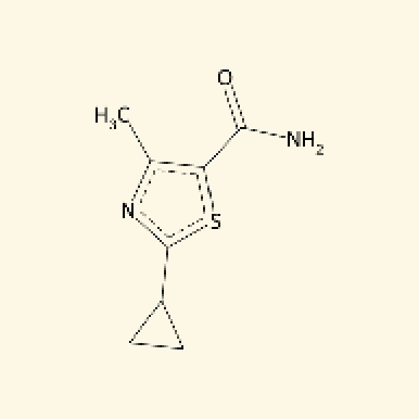 Cc1nc(C2CC2)sc1C(N)=O